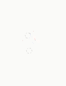 CC(C)(C)OC(=O)N[C@H](Cc1cc(F)cc(F)c1)c1nc(Br)c2c(c1Br)CCC2